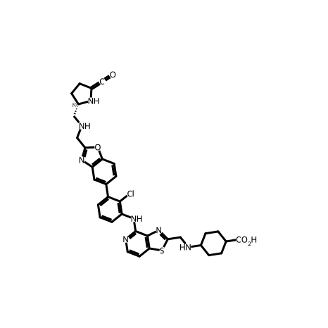 O=C=C1CC[C@@H](CNCc2nc3cc(-c4cccc(Nc5nccc6sc(CNC7CCC(C(=O)O)CC7)nc56)c4Cl)ccc3o2)N1